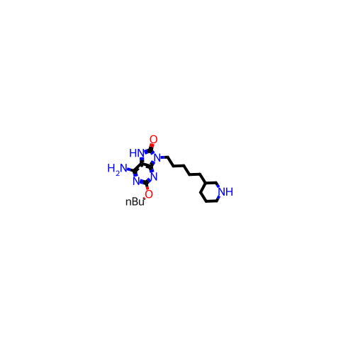 CCCCOc1nc(N)c2[nH]c(=O)n(CCCCCC3CCCNC3)c2n1